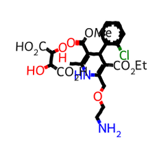 CCOC(=O)C1=C(COCCN)NC(C)=C(C(=O)OC)C1c1ccccc1Cl.O=C(O)C(O)C(O)C(=O)O